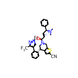 CCn1cc(-c2ccccc2[C@@H]2CN(C(=O)/C=C/C(c3ccccc3)N(C)C)Cc3sc(C#N)cc32)c(C(F)(F)F)n1